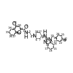 O=C(NCCN1CCC(Nc2nc3ccccc3n2Cc2ccc(F)cc2)CC1)c1cc(=O)c2ccccc2o1